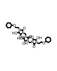 O=C1N(CCOC2CCCCC2)C(O)C(O)N1CN1C(=O)N(CN2C(=O)N(CCOC3CCCCC3)C(O)C2O)[C@H](O)C1O